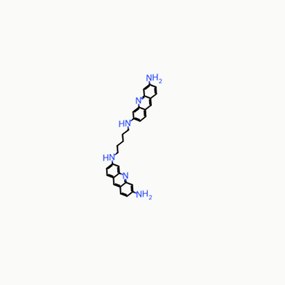 Nc1ccc2cc3ccc(NCCCCCNc4ccc5cc6ccc(N)cc6nc5c4)cc3nc2c1